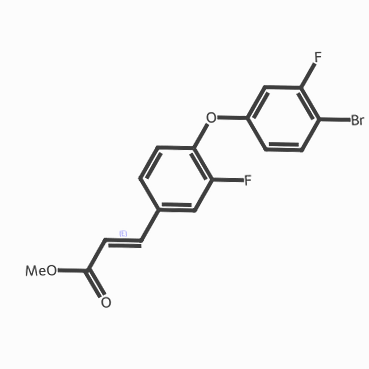 COC(=O)/C=C/c1ccc(Oc2ccc(Br)c(F)c2)c(F)c1